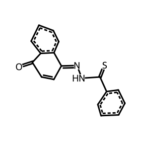 O=C1C=CC(=NNC(=S)c2ccccc2)c2ccccc21